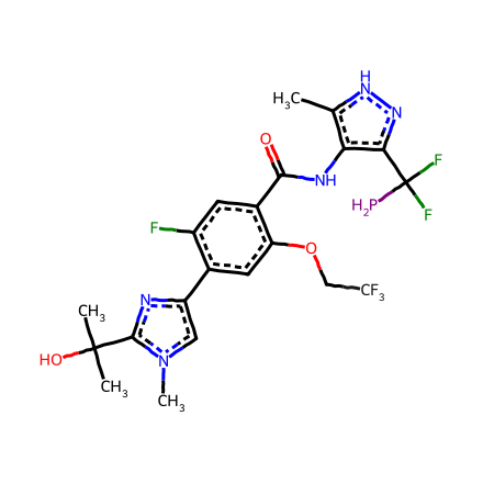 Cc1[nH]nc(C(F)(F)P)c1NC(=O)c1cc(F)c(-c2cn(C)c(C(C)(C)O)n2)cc1OCC(F)(F)F